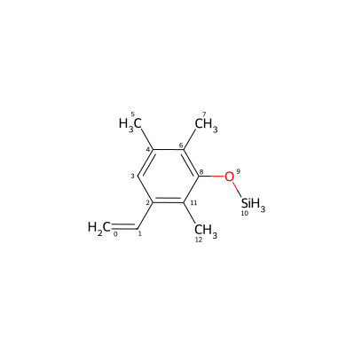 C=Cc1cc(C)c(C)c(O[SiH3])c1C